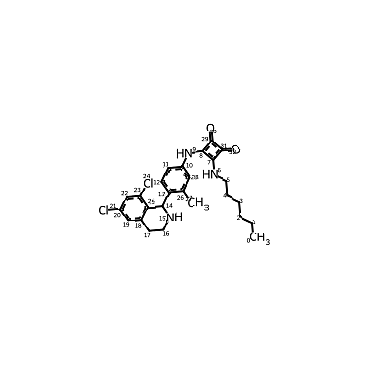 CCCCCCNc1c(Nc2ccc(C3NCCc4cc(Cl)cc(Cl)c43)c(C)c2)c(=O)c1=O